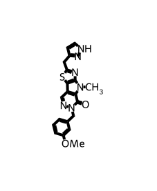 COc1cccc(Cn2ncc3c4sc(Cc5cc[nH]n5)nc4n(C)c3c2=O)c1